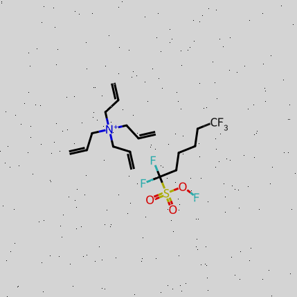 C=CC[N+](CC=C)(CC=C)CC=C.O=S(=O)(OF)C(F)(F)CCCCC(F)(F)F